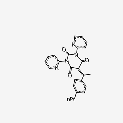 CCCc1ccc(C(C)=C2C(=O)N(c3ccccn3)C(=O)N(c3ccccn3)C2=O)cc1